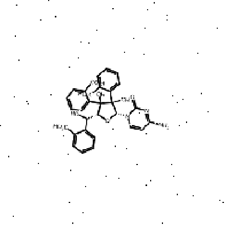 Nc1ccn([C@@H]2O[C@H](C(O)c3ccccc3C(=O)O)[C@](O)(c3ccccc3C(=O)O)[C@]2(O)c2ccccc2C(=O)O)c(=O)n1